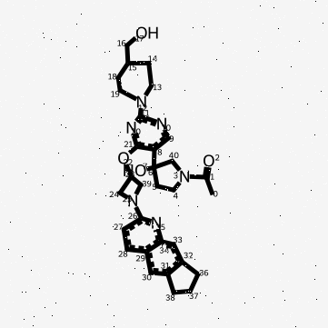 CC(=O)N1CCC(O)(c2cnc(N3CCC(CO)CC3)nc2OC2CN(c3ccc4cc5c(cc4n3)CCC5)C2)C1